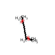 CC(C)CCOC(=O)CCCCCCCCCCCCCCCCC(C)C(=O)OCCC(C)C